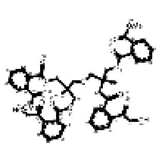 CCC(COCC(CC)(COC(=O)c1ccccc1C(=O)OC)CC(=O)c1ccccc1C(=O)CO)(COC(=O)c1ccccc1C(=O)CO)COC(=O)c1ccccc1C(=O)OC